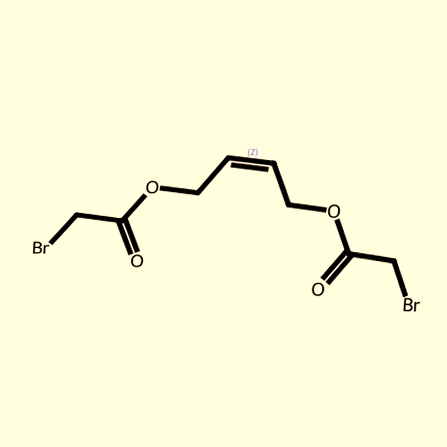 O=C(CBr)OC/C=C\COC(=O)CBr